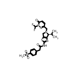 CC(C)[C@H]1c2nc(NC(=O)Cc3ccc(S(C)(=O)=O)cc3)sc2CN1Cc1ccc(=O)n(C(F)F)n1